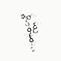 CC1(C)CCC(CN2CCN(c3ccc(C(=O)NS(=O)(=O)c4ccc(NC[C@H]5COCCO5)c([N+](=O)[O-])c4)c(N4CCCOc5nc6[nH]ccc6cc54)c3)CC2)=C(c2ccncc2)C1